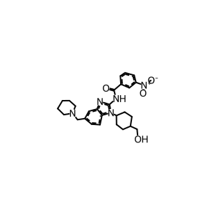 O=C(Nc1nc2cc(CN3CCCCC3)ccc2n1C1CCC(CO)CC1)c1cccc([N+](=O)[O-])c1